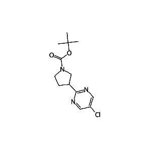 CC(C)(C)OC(=O)N1CCC(c2ncc(Cl)cn2)C1